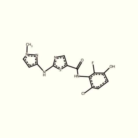 Cn1ccc(Nc2ncc(C(=O)Nc3c(Cl)ccc(O)c3F)s2)n1